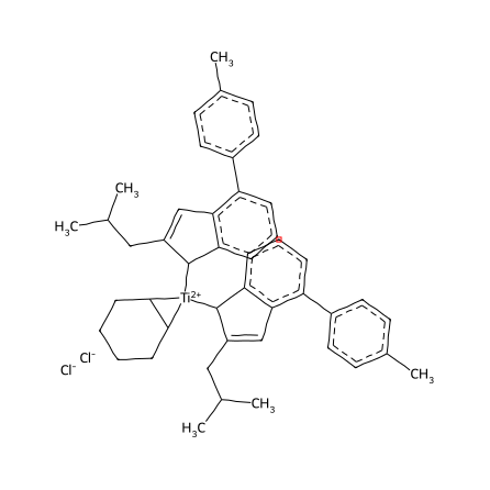 Cc1ccc(-c2cccc3c2C=C(CC(C)C)[CH]3[Ti+2]2([CH]3C(CC(C)C)=Cc4c(-c5ccc(C)cc5)cccc43)[CH]3CCCC[CH]32)cc1.[Cl-].[Cl-]